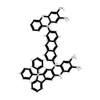 CC1=CC2Oc3ccccc3N(c3ccc4cc5cc(N6c7cc(C)c(C)cc7Oc7cc8c(cc76)[Si](c6ccccc6)(c6ccccc6)c6ccccc6-8)ccc5cc4c3)C2C=C1C